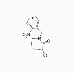 CCC1CCCN(Cc2ccccc2[N+](=O)[O-])C1=O